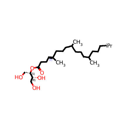 C/C(=C\CCC(=O)O[C@@H](CO)[C@H](O)CO)CCCC(C)CCCC(C)CCCC(C)C